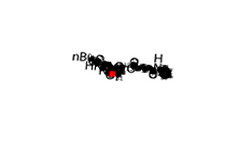 CCCCOC(=O)Nc1ccn([C@@H]2O[C@H](COC(=O)CCCCC(=O)Nc3ccccc3)CC2(F)F)c(=O)n1